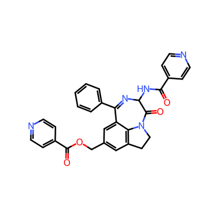 O=C(NC1N=C(c2ccccc2)c2cc(COC(=O)c3ccncc3)cc3c2N(CC3)C1=O)c1ccncc1